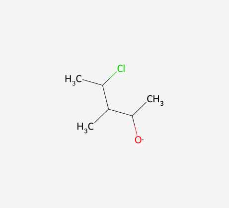 CC([O])C(C)C(C)Cl